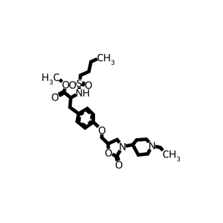 CCCCS(=O)(=O)NC(Cc1ccc(OCC2CN(C3CCN(CC)CC3)C(=O)O2)cc1)C(=O)OC